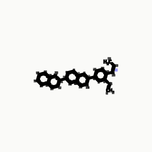 C=Nc1cc(-c2cc3ccc(-c4ccc5ccccc5n4)cc3cn2)ccc1/N=C\C